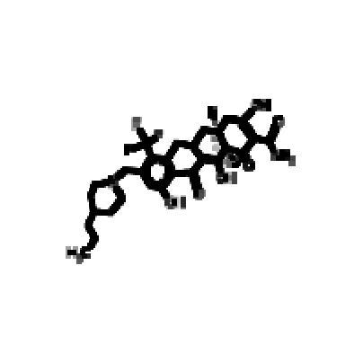 CCCC1CCN(Cc2cc(O)c3c(c2C(F)(F)F)CC2C[C@H]4CC(O)=C(C(N)=O)C(=O)[C@@]4(O)C(O)=C2C3=O)CC1